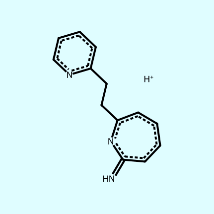 N=c1ccccc(CCc2ccccn2)n1.[H+]